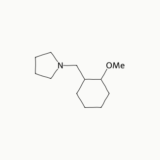 COC1CCCCC1CN1CCCC1